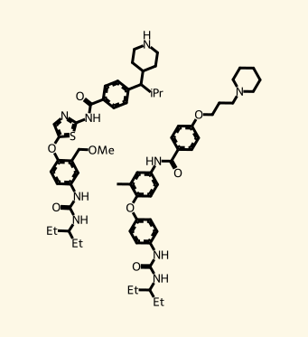 CCC(CC)NC(=O)Nc1ccc(Oc2ccc(NC(=O)c3ccc(OCCCN4CCCCC4)cc3)cc2C)cc1.CCC(CC)NC(=O)Nc1ccc(Oc2cnc(NC(=O)c3ccc(C(C(C)C)C4CCNCC4)cc3)s2)c(COC)c1